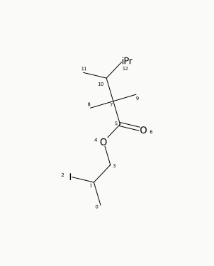 CC(I)COC(=O)C(C)(C)C(C)C(C)C